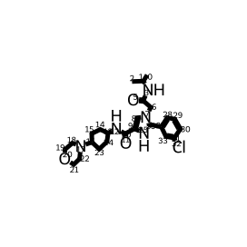 CC(C)NC(=O)CN1C=C(C(=O)NC2CCC(N3CCOCC3)CC2)NC1c1cccc(Cl)c1